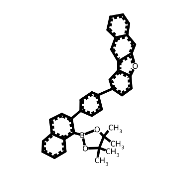 CC1(C)OB(c2c(-c3ccc(-c4ccc5oc6cc7ccccc7cc6c5c4)cc3)ccc3ccccc23)OC1(C)C